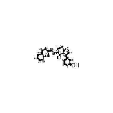 O=c1c2c(-c3cccc(O)c3)csc2ccn1CCc1ccc2ccccc2n1